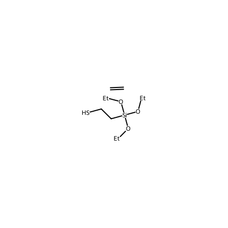 C=C.CCO[Si](CCS)(OCC)OCC